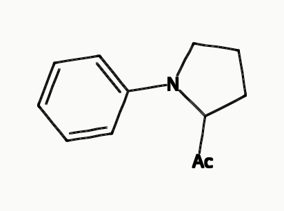 CC(=O)C1CCCN1c1ccccc1